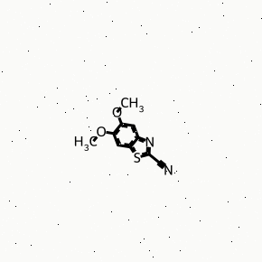 COc1cc2nc(C#N)sc2cc1OC